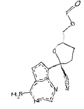 N#C[C@]1(c2ccc3c(N)ncnn23)CC[C@@H](COP=O)O1